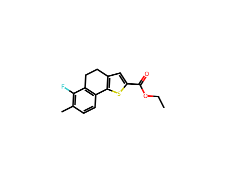 CCOC(=O)c1cc2c(s1)-c1ccc(C)c(F)c1CC2